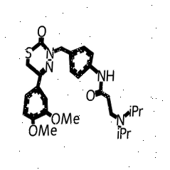 COc1ccc(C2=NN(Cc3ccc(NC(=O)CCN(C(C)C)C(C)C)cc3)C(=O)SC2)cc1OC